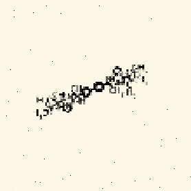 COC(=O)N[C@H](C(=O)N1CCC[C@H]1c1nc(C)c(-c2ccc(-c3ccc(-c4nc([C@@H]5CCCN5C(=O)[C@@H](OC(N)=O)C(C)C)[nH]c4C)cc3)cc2)[nH]1)C(C)C